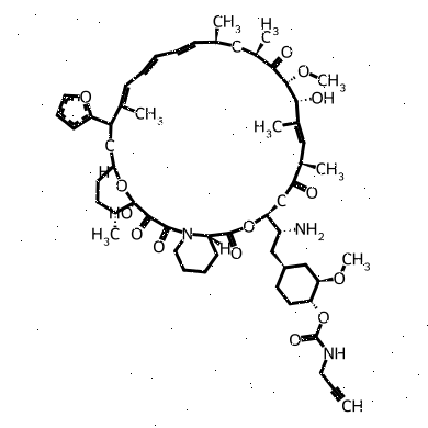 C#CCNC(=O)O[C@@H]1CC[C@@H](C[C@@H](N)[C@@H]2CC(=O)[C@H](C)/C=C(\C)[C@@H](O)[C@@H](OC)C(=O)[C@H](C)C[C@H](C)/C=C/C=C/C=C(\C)C(c3ccco3)C[C@@H]3CC[C@@H](C)[C@@](O)(O3)C(=O)C(=O)N3CCCC[C@H]3C(=O)O2)C[C@H]1OC